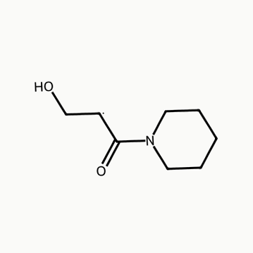 O=C([CH]CO)N1CCCCC1